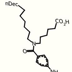 CCCCCCCCCCCCCCCCN(CCCCCC(=O)O)C(=O)c1ccc(N)cc1